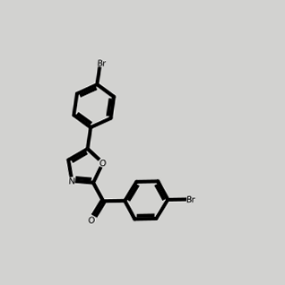 O=C(c1ccc(Br)cc1)c1ncc(-c2ccc(Br)cc2)o1